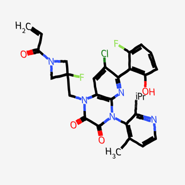 C=CC(=O)N1CC(F)(Cn2c(=O)c(=O)n(-c3c(C)ccnc3C(C)C)c3nc(-c4c(O)cccc4F)c(Cl)cc32)C1